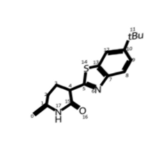 C=C1CCC(c2nc3ccc(C(C)(C)C)cc3s2)C(=O)N1